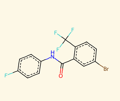 O=C(Nc1ccc(F)cc1)c1cc(Br)ccc1C(F)(F)F